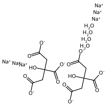 O.O.O.O.O=C([O-])CC(O)(CC(=O)[O-])C(=O)[O-].O=C([O-])CC(O)(CC(=O)[O-])C(=O)[O-].[Na+].[Na+].[Na+].[Na+].[Na+].[Na+]